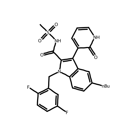 CCCCc1ccc2c(c1)c(-c1ccc[nH]c1=O)c(C(=O)NS(C)(=O)=O)n2Cc1cc(F)ccc1F